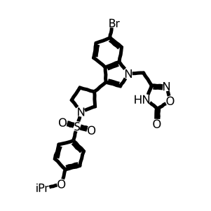 CC(C)Oc1ccc(S(=O)(=O)N2CCC(c3cn(Cc4noc(=O)[nH]4)c4cc(Br)ccc34)C2)cc1